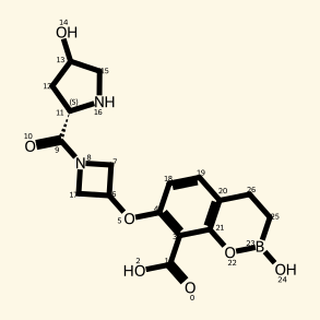 O=C(O)c1c(OC2CN(C(=O)[C@@H]3CC(O)CN3)C2)ccc2c1OB(O)CC2